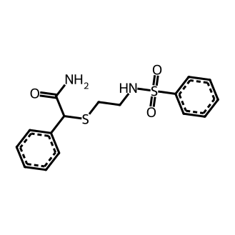 NC(=O)C(SCCNS(=O)(=O)c1ccccc1)c1ccccc1